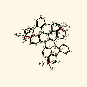 CC(C)(C)c1ccc2c(c1)N(c1c(-c3ccccc3)cccc1-c1ccccc1)c1cc(C(C)(C)C)cc3c1B2c1ccc(C(C)(C)C)cc1N3c1c(-c2ccccc2)cccc1-c1ccccc1